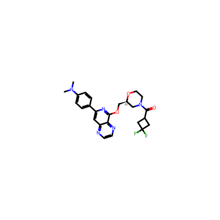 CN(C)c1ccc(-c2cc3nccnc3c(OC[C@@H]3CN(C(=O)C4CC(F)(F)C4)CCO3)n2)cc1